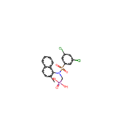 Cc1ccc2ccccc2c1N(CP(=O)(O)O)S(=O)(=O)c1cc(Cl)cc(Cl)c1